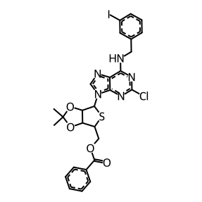 CC1(C)OC2C(COC(=O)c3ccccc3)SC(n3cnc4c(NCc5cccc(I)c5)nc(Cl)nc43)C2O1